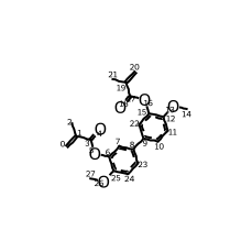 C=C(C)C(=O)Oc1cc(-c2ccc(OC)c(OC(=O)C(=C)C)c2)ccc1OC